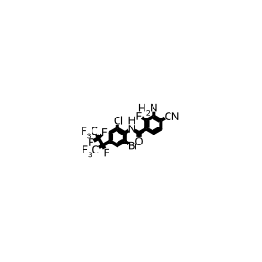 N#Cc1ccc(C(=O)Nc2c(Cl)cc(C(F)(C(F)(F)F)C(F)(F)C(F)(F)F)cc2Br)c(F)c1N